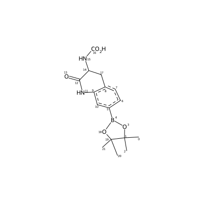 CC1(C)OB(c2ccc3c(c2)NC(=O)C(NC(=O)O)C3)OC1(C)C